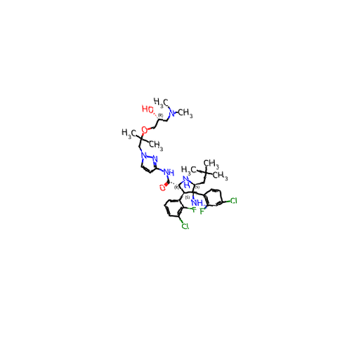 CN(C)C[C@@H](O)COC(C)(C)Cn1ccc(NC(=O)[C@@H]2N[C@@H](CC(C)(C)C)[C@](N)(c3ccc(Cl)cc3F)[C@H]2c2cccc(Cl)c2F)n1